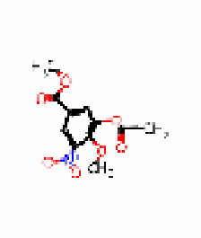 COC(=O)c1cc(OC(C)=O)c(OC)c([N+](=O)[O-])c1